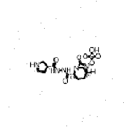 O=C(NNC(=O)[C@H]1CC[C@@H]2CN1C(=O)N2OS(=O)(=O)O)[C@@H]1CCNC1